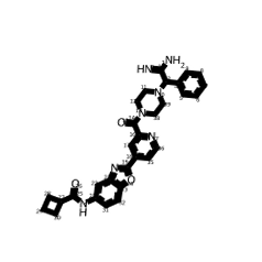 N=C(N)C(c1ccccc1)N1CCN(C(=O)c2cc(-c3nc4cc(NC(=O)C5CCC5)ccc4o3)ccn2)CC1